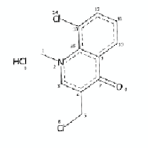 Cl.Cn1cc(CCl)c(=O)c2cccc(Cl)c21